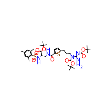 Cc1cc(C)c(S(=O)(=O)N[C@@H](CNC(=O)c2ccc(CCCN(C(=O)OC(C)(C)C)C(N)=NC(=O)OC(C)(C)C)s2)C(=O)OC(C)(C)C)c(C)c1